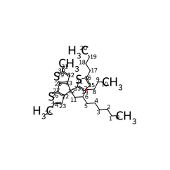 CCCCCCC(CCCC)CC1(c2ccc(CCCC)s2)c2cc(C)sc2-c2sc(C)cc21